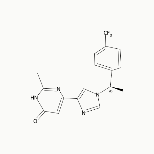 Cc1nc(-c2cn([C@H](C)c3ccc(C(F)(F)F)cc3)cn2)cc(=O)[nH]1